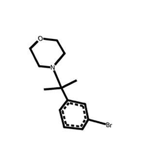 CC(C)(c1cccc(Br)c1)N1CCOCC1